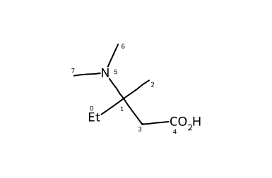 CCC(C)(CC(=O)O)N(C)C